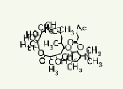 CC[C@H]1OC(=O)[C@H](C)[C@@H](O)[C@H](C)[C@@H](O[C@@H]2O[C@H](C)CC(N(C)C)[C@H]2OC(=O)CCC(C)=O)/C(C)=C/[C@@H](C)CN(C)[C@H](C)[C@@H](O)[C@]1(C)O